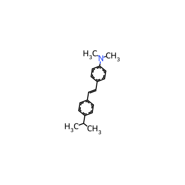 CC(C)c1ccc(/C=C/c2ccc(N(C)C)cc2)cc1